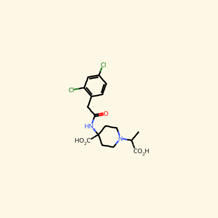 CC(C(=O)O)N1CCC(NC(=O)Cc2ccc(Cl)cc2Cl)(C(=O)O)CC1